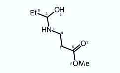 CCC(O)NCCC(=O)OC